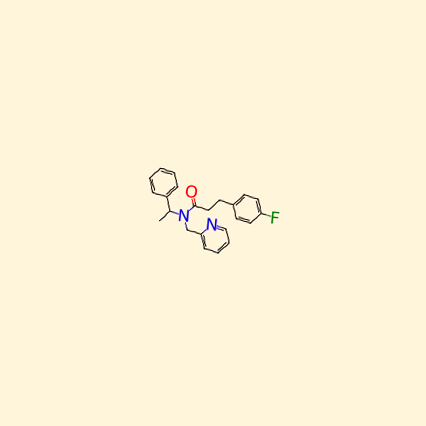 CC(c1ccccc1)N(Cc1ccccn1)C(=O)CCc1ccc(F)cc1